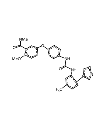 CNC(=O)c1cc(Oc2ccc(NC(=O)Nc3cc(C(F)(F)F)ccc3-n3cnnc3)cc2)cc[n+]1OC